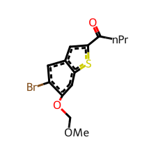 CCCC(=O)c1cc2cc(Br)c(OCOC)cc2s1